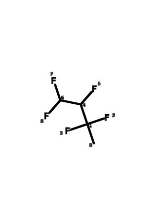 CC(F)(F)C(F)C(F)F